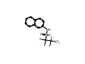 O=S(=O)(Nc1ccc2ccccc2c1)C(F)(F)C(F)(F)C(F)(F)F